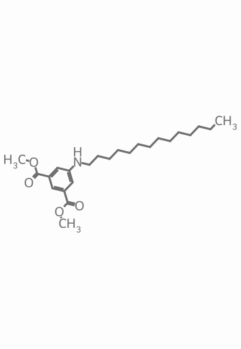 CCCCCCCCCCCCCCNc1cc(C(=O)OC)cc(C(=O)OC)c1